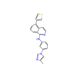 Cc1cn(-c2cccc(Nc3nccc4c(-c5ccsc5)cccc34)c2)cn1